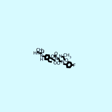 CNC(=O)Nc1ccc2c(c1)CC[C@@]21OC(=O)N(CC(=O)N(Cc2ccc(F)cc2)C(=O)[C@H](C)N)C1=O